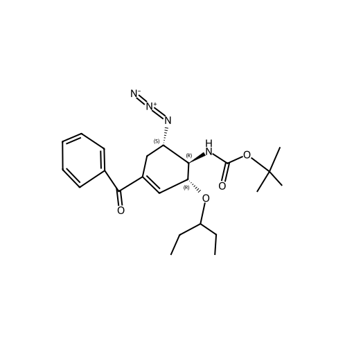 CCC(CC)O[C@@H]1C=C(C(=O)c2ccccc2)C[C@H](N=[N+]=[N-])[C@H]1NC(=O)OC(C)(C)C